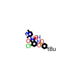 Cc1ccc(N2C(=O)c3c(Cl)ccc(NS(=O)(=O)c4ccc(C(C)(C)C)cc4)c3C2=O)c(C)[n+]1C